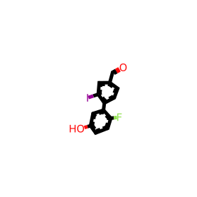 O=Cc1ccc(-c2cc(O)ccc2F)c(I)c1